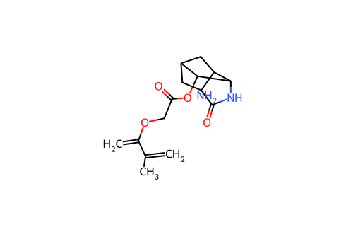 C=C(C)C(=C)OCC(=O)OC1C2CC3C1NC(=O)C3(N)C2